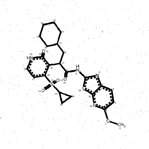 COc1ccc2nc(NC(=O)C(CC3CCCCC3)c3c(S(=O)(=O)C4CC4)cc[nH]c3=O)sc2n1